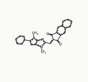 Cn1c(-c2ccccc2)cc2c1nc(C=C1C(=O)c3cc4ccccc4cc3C1=O)n2C(F)(F)F